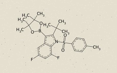 Cc1ccc(S(=O)(=O)n2c(C(C)(C)C)c(B3OC(C)(C)C(C)(C)O3)c3cc(F)cc(F)c32)cc1